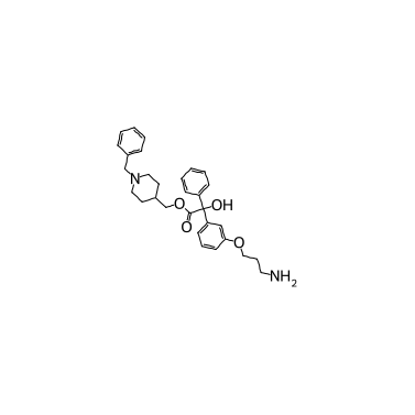 NCCCOc1cccc(C(O)(C(=O)OCC2CCN(Cc3ccccc3)CC2)c2ccccc2)c1